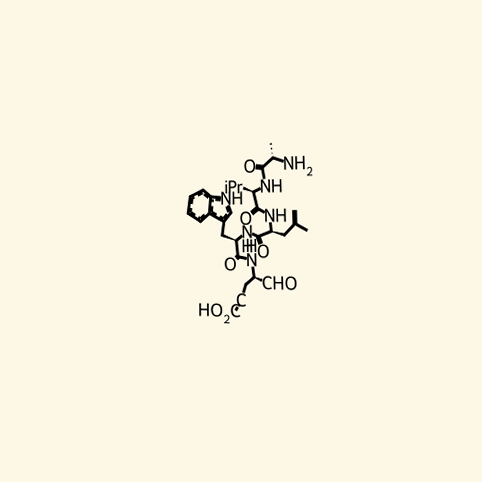 C=C(C)C[C@H](NC(=O)[C@H](NC(=O)[C@H](C)N)C(C)C)C(=O)N[C@H](Cc1c[nH]c2ccccc12)C(=O)N[C@@H](C=O)CCC(=O)O